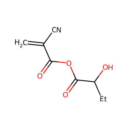 C=C(C#N)C(=O)OC(=O)C(O)CC